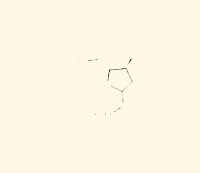 CCCCCOC1C[C@H](O)[C@@H](CO)O1